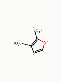 O=C(O)c1ccoc1S(=O)(=O)O